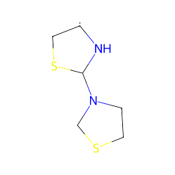 [CH]1CSC(N2CCSC2)N1